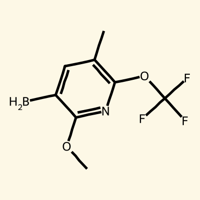 Bc1cc(C)c(OC(F)(F)F)nc1OC